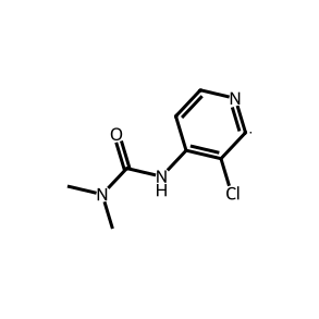 CN(C)C(=O)Nc1ccn[c]c1Cl